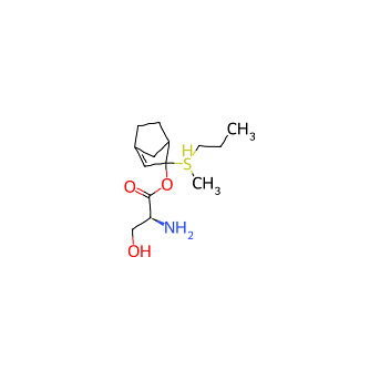 CCC[SH](C)C1(OC(=O)[C@@H](N)CO)C=C2CCC1C2